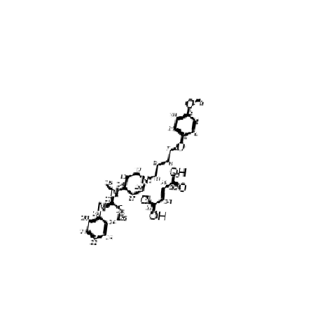 COc1ccc(OCCCCN2CCC(N(C)C(=Nc3ccccc3)SC)CC2)cc1.O=C(O)C=CC(=O)O